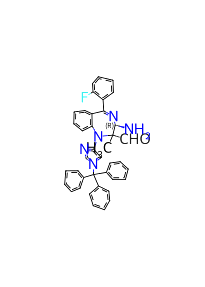 CC1(C=O)[C@H](N)N=C(c2ccccc2F)c2ccccc2N1c1cn(C(c2ccccc2)(c2ccccc2)c2ccccc2)cn1